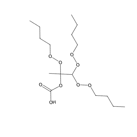 CCCCOOC(OOCCCC)C(C)(OOCCCC)OC(=O)O